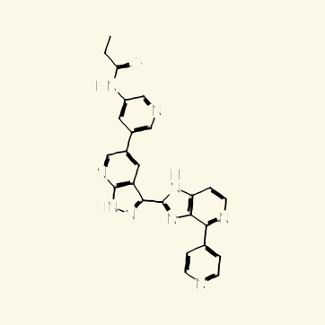 CCC(=O)Nc1cncc(-c2cnc3[nH]nc(-c4nc5c(-c6ccncc6)nccc5[nH]4)c3c2)c1